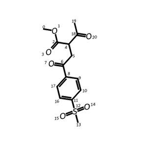 COC(=O)C(CC(=O)c1ccc(S(C)(=O)=O)cc1)C(C)=O